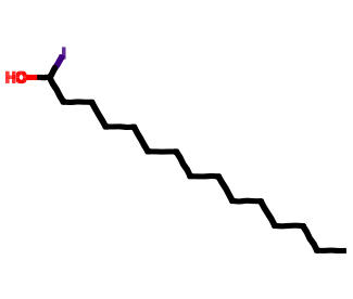 CCCCCCCCCCCCCCC(O)I